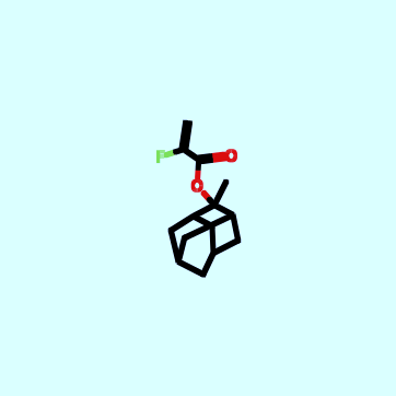 C=C(F)C(=O)OC1(C)C2CC3CC(C2)CC1C3